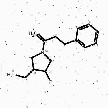 C=C(CCc1ccccc1)N1CC(F)C(CC)C1